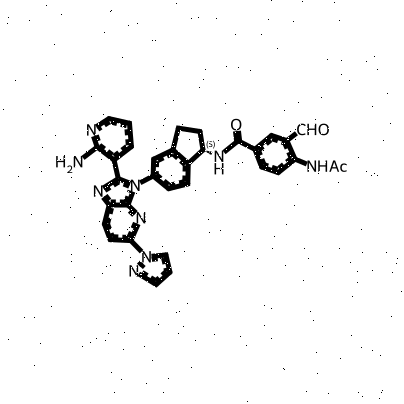 CC(=O)Nc1ccc(C(=O)N[C@H]2CCc3cc(-n4c(-c5cccnc5N)nc5ccc(-n6cccn6)nc54)ccc32)cc1C=O